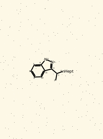 CCCCCCCC(C)C1=N[N]c2ccccc21